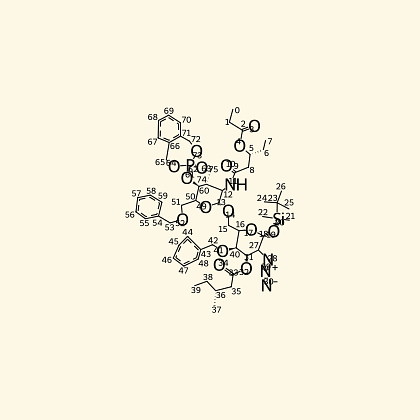 CCC(=O)O[C@H](CC)CC(=O)NC1[C@H](OCC2OC(O[Si](C)(C)C(C)(C)C)C(N=[N+]=[N-])[C@@H](OC(=O)C[C@H](C)CC)[C@H]2OCc2ccccc2)OC(COCc2ccccc2)[C@@H](OP2(=O)OCc3ccccc3CO2)[C@@H]1C